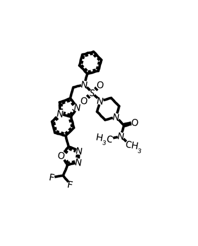 CN(C)C(=O)N1CCN(S(=O)(=O)N(Cc2cn3ccc(-c4nnc(C(F)F)o4)cc3n2)c2ccccc2)CC1